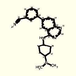 CN(C)C1CCC(Nc2ncnc3ccc(-c4cccc(C#N)c4)cc23)CC1